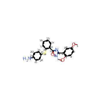 COc1ccc(OC)c(-c2noc(-c3ccccc3Sc3ccc(N)cc3)n2)c1